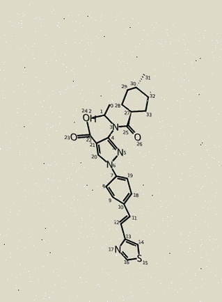 CC(C)N(c1nn(-c2ccc(C=Cc3cscn3)cc2)cc1C(=O)O)C(=O)[C@H]1CC[C@H](C)CC1